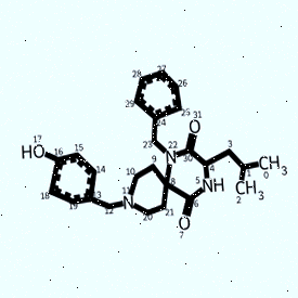 CC(C)CC1NC(=O)C2(CCN(Cc3ccc(O)cc3)CC2)N(Cc2ccccc2)C1=O